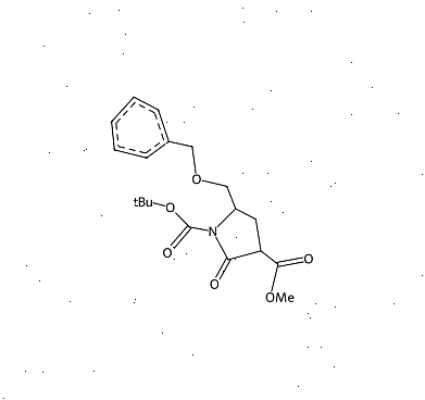 COC(=O)C1CC(COCc2ccccc2)N(C(=O)OC(C)(C)C)C1=O